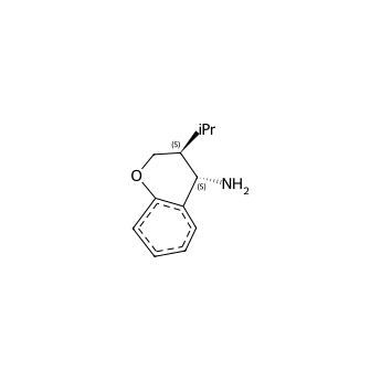 CC(C)[C@@H]1COc2ccccc2[C@H]1N